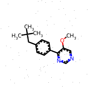 COc1cncnc1-c1ccc(CC(C)(C)C)cc1